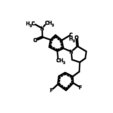 Cc1cc(C(=O)N(C)C)cc(C)c1N1CC(Cc2ccc(F)cc2F)CCC1=O